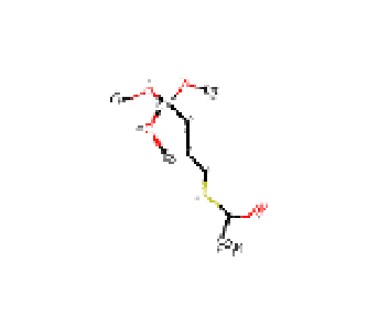 CCO[Si](CCCSC(O)C(=O)O)(OCC)OCC